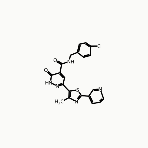 Cc1nc(-c2cccnc2)sc1-c1cc(C(=O)NCc2ccc(Cl)cc2)c(=O)[nH]n1